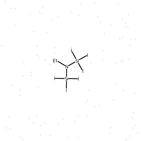 CCN([Si](I)(I)I)[Si](I)(I)I